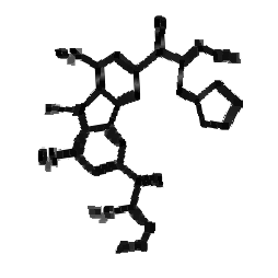 CCn1c2c([N+](=O)[O-])cc(C(=O)/C(C)=N/OC(C)=O)cc2c2cc(C(=O)/C(CC3CCCC3)=N/OC(C)=O)cc([N+](=O)[O-])c21